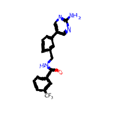 Nc1ncc(-c2cccc(CNC(=O)c3cccc(C(F)(F)F)c3)c2)cn1